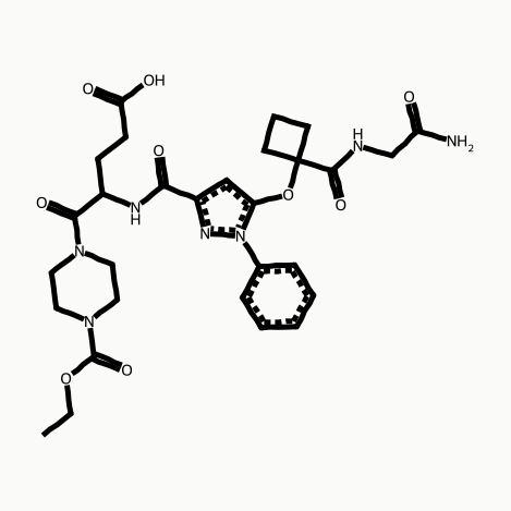 CCOC(=O)N1CCN(C(=O)C(CCC(=O)O)NC(=O)c2cc(OC3(C(=O)NCC(N)=O)CCC3)n(-c3ccccc3)n2)CC1